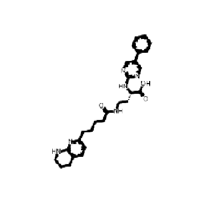 O=C(CCCCc1ccc2c(n1)NCCC2)NCC[C@H](Nc1ncc(-c2ccccc2)cn1)C(=O)O